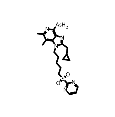 Cc1nc([AsH2])c2nc(CC3CC3)n(CCCCCS(=O)(=O)c3ncccn3)c2c1C